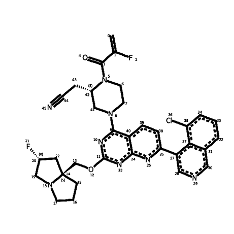 C=C(F)C(=O)N1CCN(c2nc(OC[C@@]34CCCN3C[C@H](F)C4)nc3nc(-c4cncc5cccc(Cl)c45)ccc23)C[C@@H]1CC#N